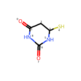 O=C1CC(S)NC(=O)N1